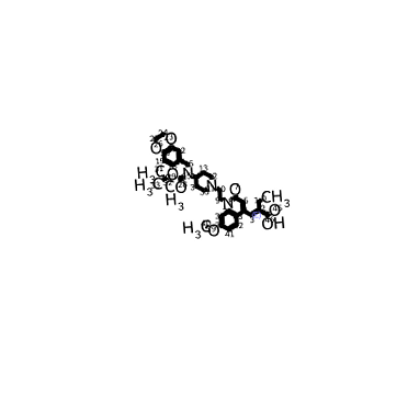 CC/C(=C\c1cc(=O)n(CCN2CCC(N(Cc3ccc4c(c3)OCCO4)C(=O)OC(C)(C)C)CC2)c2cc(OC)ccc12)C(=O)O